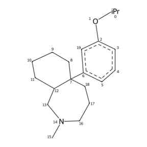 CC(C)Oc1cccc(C23CCCCC2CN(C)CCC3)c1